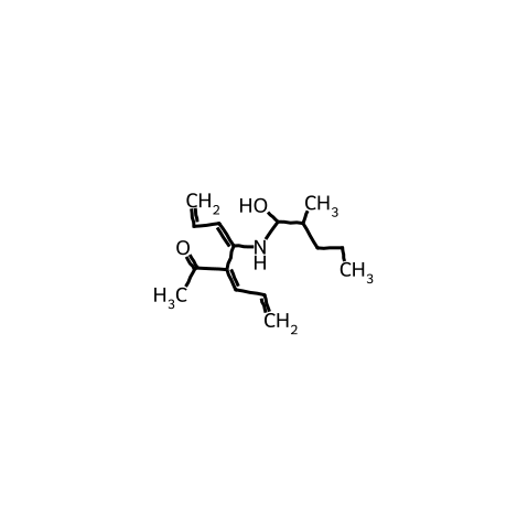 C=C/C=C(NC(O)C(C)CCC)\C(=C/C=C)C(C)=O